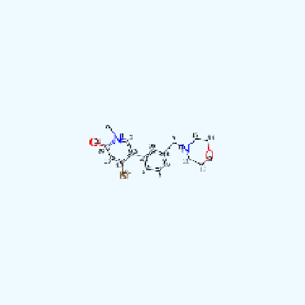 Cn1cc(-c2cccc(CN3CCOCC3)c2)c(Br)cc1=O